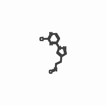 O=NCCc1cnn(-c2ccnc(Cl)n2)c1